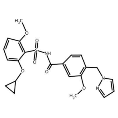 COc1cc(C(=O)NS(=O)(=O)c2c(OC)cccc2OC2CC2)ccc1Cn1cccn1